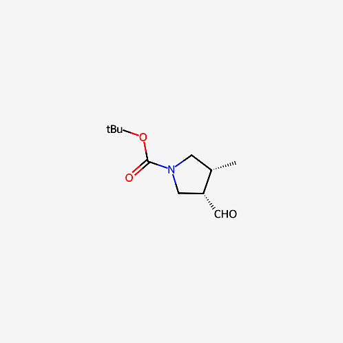 C[C@H]1CN(C(=O)OC(C)(C)C)C[C@H]1C=O